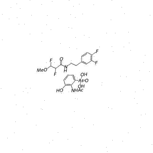 CC(=O)Nc1c(O)cccc1[As](=O)(O)O.COC(F)C(F)C(=O)NCCc1ccc(F)c(F)c1